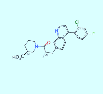 C[C@@H](Cc1ccc2c(-c3ccc(F)cc3Cl)ccnc2c1)C(=O)N1CCC[C@H](C(=O)O)C1